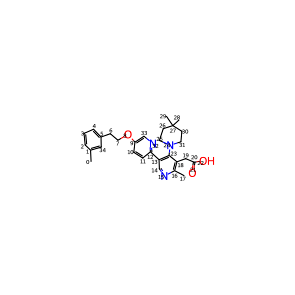 Cc1cccc(CCOc2ccc(-c3cnc(C)c(CC(=O)O)c3N3CCC(C)(C)CC3)nc2)c1